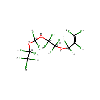 FC(F)=C(F)C(F)(F)OC(F)(F)C(F)(F)OC(F)(F)OC(F)(F)C(F)(F)F